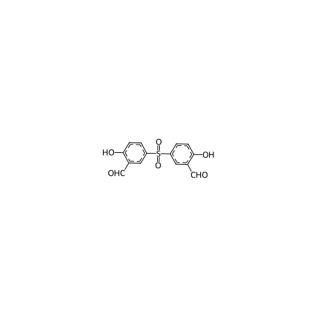 O=Cc1cc(S(=O)(=O)c2ccc(O)c(C=O)c2)ccc1O